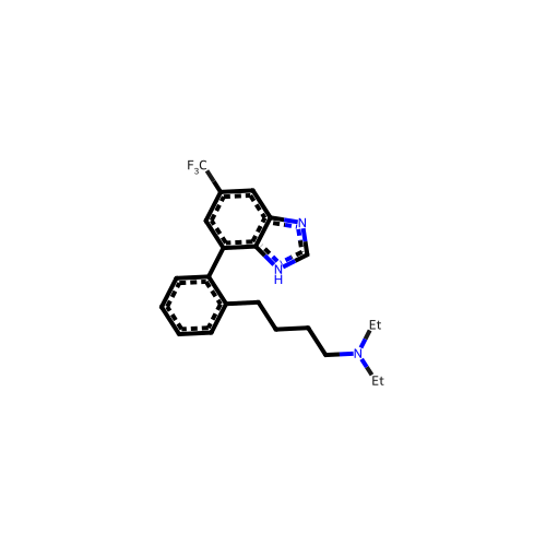 CCN(CC)CCCCc1ccccc1-c1cc(C(F)(F)F)cc2nc[nH]c12